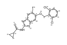 O=C(Nc1nc2cc(F)c(OCc3c(Cl)cccc3Cl)cc2s1)C1CC1